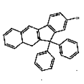 Brc1ccc2c(c1)C(c1ccccc1)(c1ccccc1)C1=C2C=C2C=CC=CC2C1